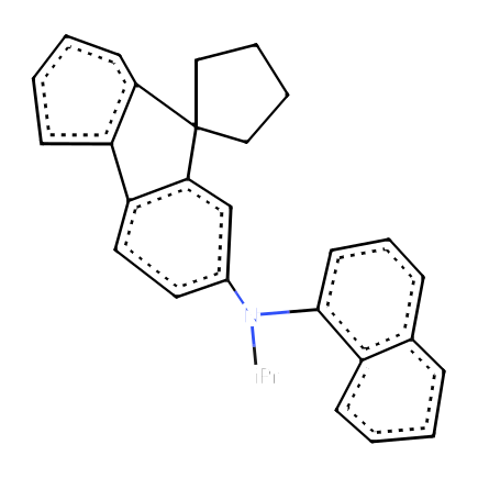 CC(C)N(c1ccc2c(c1)C1(CCCC1)c1ccccc1-2)c1cccc2ccccc12